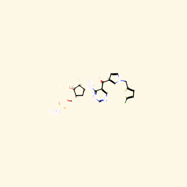 NS(=O)(=O)OC[C@H]1C[C@@H](Nc2ncncc2C(=O)c2ccn(Cc3ccc(Cl)s3)c2)[C@@H](F)[C@@H]1O